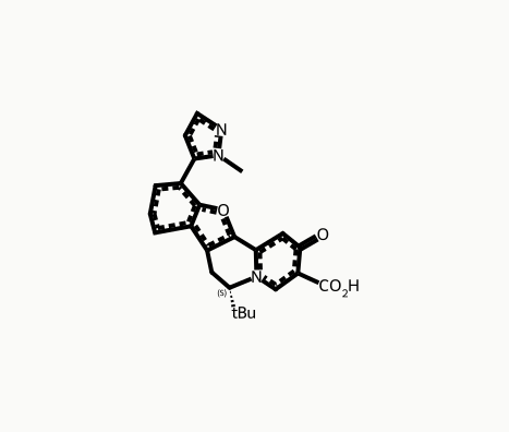 Cn1nccc1-c1cccc2c3c(oc12)-c1cc(=O)c(C(=O)O)cn1[C@H](C(C)(C)C)C3